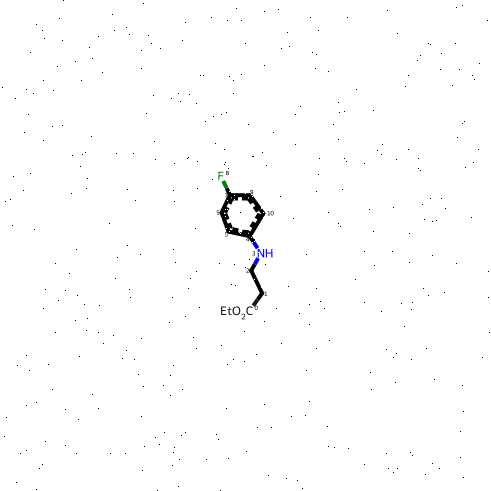 CCOC(=O)CCNc1ccc(F)cc1